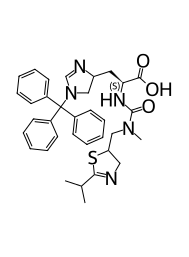 CC(C)C1=NCC(CN(C)C(=O)N[C@@H](CC2CN(C(c3ccccc3)(c3ccccc3)c3ccccc3)C=N2)C(=O)O)S1